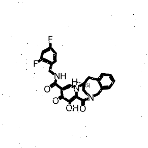 O=C(NCc1ccc(F)cc1F)c1cn2c(c(O)c1=O)C(=O)N1Cc3ccccc3C[C@H]2C1